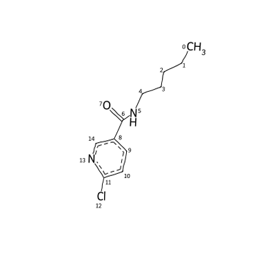 CCCCCNC(=O)c1ccc(Cl)nc1